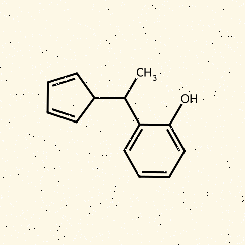 CC(c1ccccc1O)C1C=CC=C1